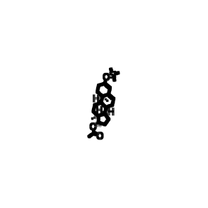 CC(=O)O[C@H]1CC[C@H]2[C@@H]3CC=C4C=C(O[Si](C)(C)C)CC[C@]4(C)[C@H]3CC[C@]12C